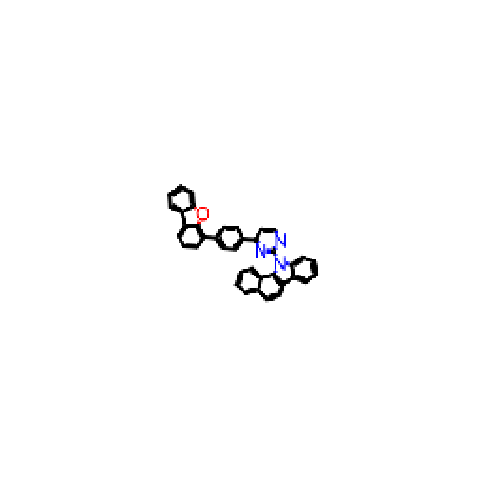 c1ccc2c(c1)ccc1c3ccccc3n(-c3nccc(-c4ccc(-c5cccc6c5oc5ccccc56)cc4)n3)c21